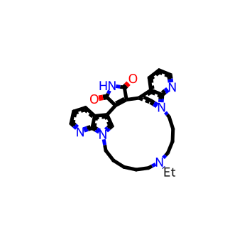 CCN1CCCCCn2cc(c3cccnc32)C2=C(C(=O)NC2=O)c2cn(c3ncccc23)CCCC1